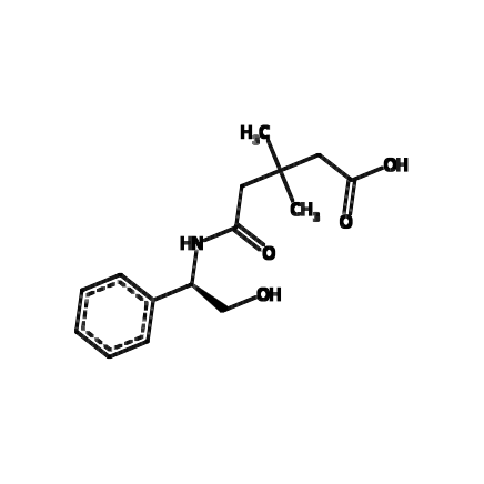 CC(C)(CC(=O)O)CC(=O)N[C@@H](CO)c1ccccc1